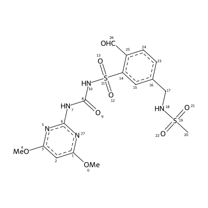 COc1cc(OC)nc(NC(=O)NS(=O)(=O)c2cc(CNS(C)(=O)=O)ccc2C=O)n1